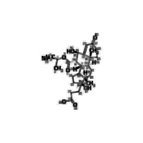 CC(C)OC(=O)[C@H]1[C@@H]2[C@H](CC[C@@]3(C)[C@H]2CC[C@@]3(O)CCC(=O)[O-])[C@@]2(C)CCC(=O)C=C2[C@@H]1O.[Na+]